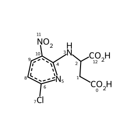 O=C(O)CC(Nc1nc(Cl)ccc1[N+](=O)[O-])C(=O)O